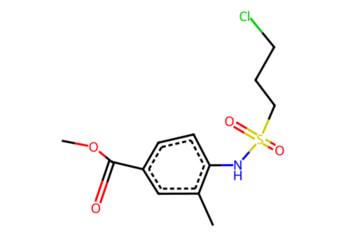 COC(=O)c1ccc(NS(=O)(=O)CCCCl)c(C)c1